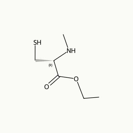 CCOC(=O)[C@H](CS)NC